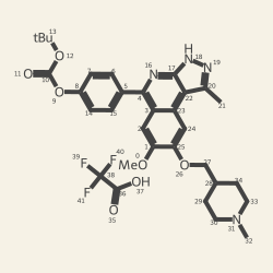 COc1cc2c(-c3ccc(OC(=O)OC(C)(C)C)cc3)nc3[nH]nc(C)c3c2cc1OCC1CCN(C)CC1.O=C(O)C(F)(F)F